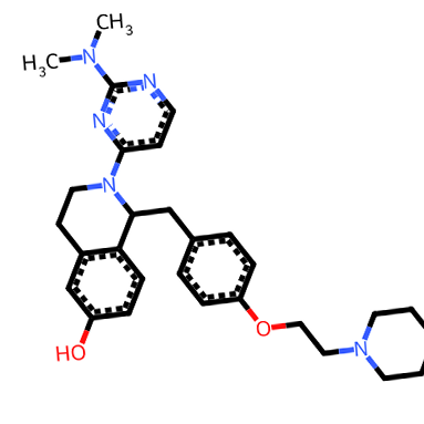 CN(C)c1nccc(N2CCc3cc(O)ccc3C2Cc2ccc(OCCN3CCCCC3)cc2)n1